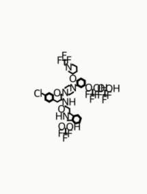 O=C(CC1NCc2ccccc21)NC(Cc1ccc(Cl)cc1)C(=O)N1CCN(c2ccccc2OC2CCCN(CC(F)(F)F)C2)CC1.O=C(O)C(F)(F)F.O=C(O)C(F)(F)F.O=C(O)C(F)(F)F